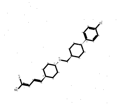 CCc1ccc([C@H]2CC[C@H](CO[C@H]3CC[C@H](/C=C/C=C(\F)C#N)CC3)CC2)cc1